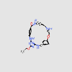 O=C1NCCCCNCCOc2ccc(cc2)CNc2nc(nc(OCC(F)(F)F)n2)Nc2ccc1cc2